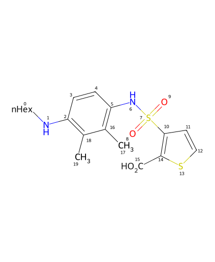 CCCCCCNc1ccc(NS(=O)(=O)c2ccsc2C(=O)O)c(C)c1C